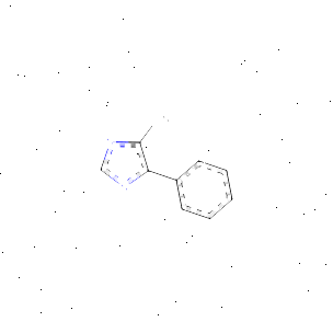 N#Cc1nc[nH]c1-c1ccccc1